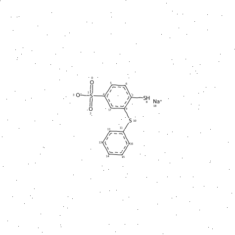 O=S(=O)([O-])c1ccc(S)c(Sc2ccccc2)c1.[Na+]